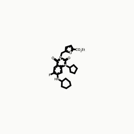 CCOC(=O)c1ccc(Cn2c(=O)c3cc(F)c(NC4CCCCC4)cc3n(C3CCCC3)c2=O)o1